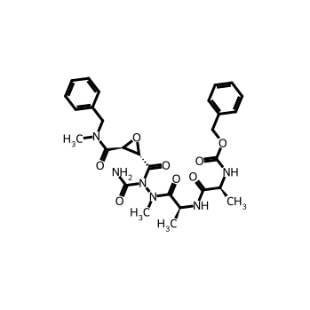 C[C@H](NC(=O)OCc1ccccc1)C(=O)N[C@@H](C)C(=O)N(C)N(C(N)=O)C(=O)[C@H]1O[C@@H]1C(=O)N(C)Cc1ccccc1